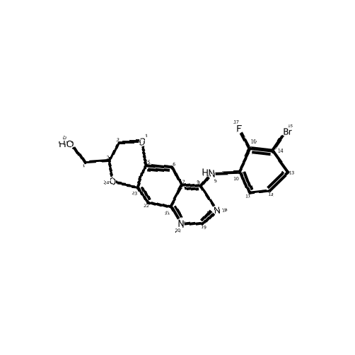 OCC1COc2cc3c(Nc4cccc(Br)c4F)ncnc3cc2O1